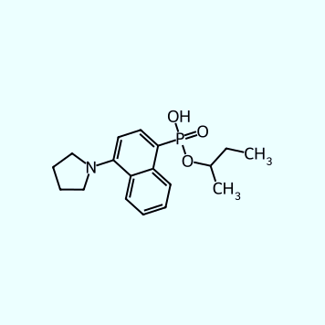 CCC(C)OP(=O)(O)c1ccc(N2CCCC2)c2ccccc12